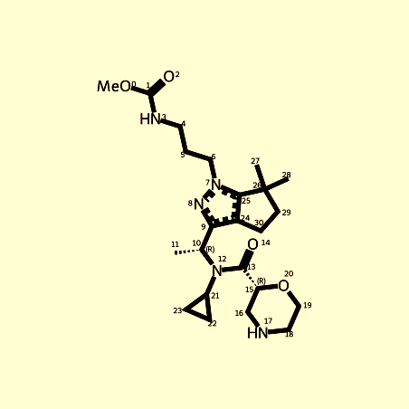 COC(=O)NCCCn1nc([C@@H](C)N(C(=O)[C@H]2CNCCO2)C2CC2)c2c1C(C)(C)CC2